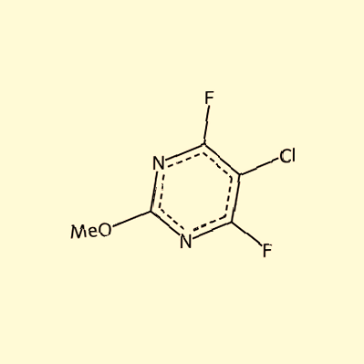 COc1nc(F)c(Cl)c(F)n1